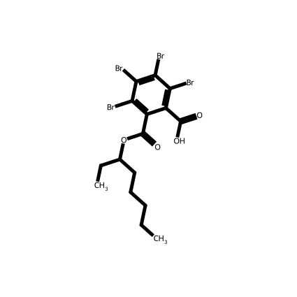 CCCCCC(CC)OC(=O)c1c(Br)c(Br)c(Br)c(Br)c1C(=O)O